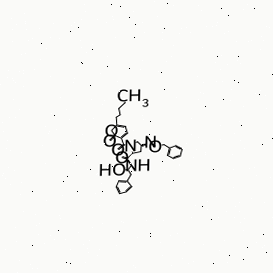 CCCCCc1ccc(C(=O)N2C/C(=N/OCc3ccccc3)C[C@H]2C(=O)N[C@H](O)Cc2ccccc2)c(=O)o1